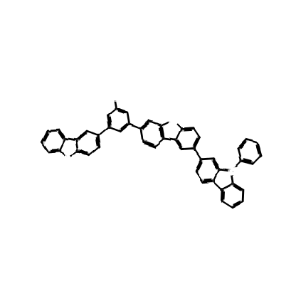 Clc1cc(-c2ccc3c(c2)oc2ccc(-c4ccc5c6ccccc6n(-c6ccccc6)c5c4)cc23)cc(-c2ccc3sc4ccccc4c3c2)c1